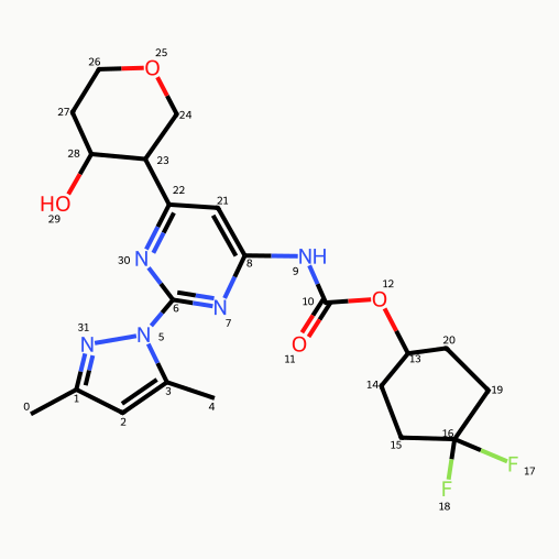 Cc1cc(C)n(-c2nc(NC(=O)OC3CCC(F)(F)CC3)cc(C3COCCC3O)n2)n1